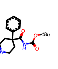 CC(C)(C)OC(=O)NC(=O)C1(c2ccccc2)CCNCC1